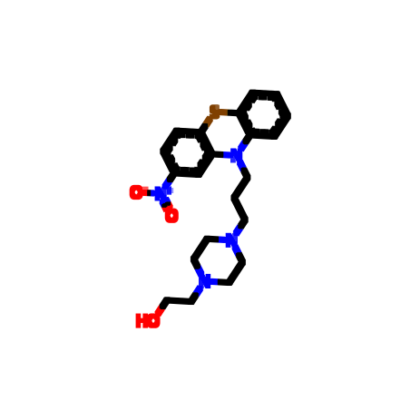 O=[N+]([O-])c1ccc2c(c1)N(CCCN1CCN(CCO)CC1)c1ccccc1S2